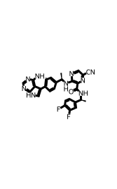 C[C@H](NC(=O)c1nc(C#N)cnc1N[C@H](C)c1ccc(-c2c[nH]c3ncnc(N)c23)cc1)c1ccc(F)c(F)c1